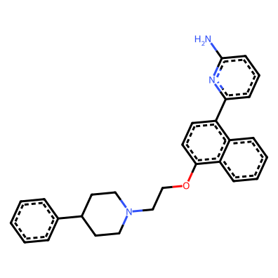 Nc1cccc(-c2ccc(OCCN3CCC(c4ccccc4)CC3)c3ccccc23)n1